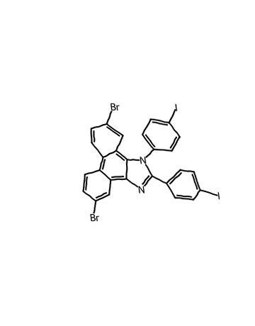 Brc1ccc2c3ccc(Br)cc3c3c(nc(-c4ccc(I)cc4)n3-c3ccc(I)cc3)c2c1